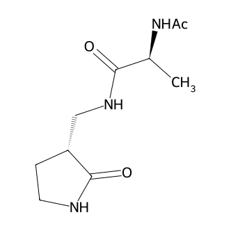 CC(=O)N[C@@H](C)C(=O)NC[C@H]1CCNC1=O